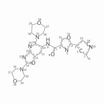 Cc1cc(-c2nc(C(=O)Nc3cc4oc(N5CCOCC5)nc4nc3N3CCOCC3)co2)ccn1